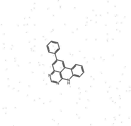 c1ccc(-c2cc3c4c(ncnc4c2)Nc2ccccc2-3)cc1